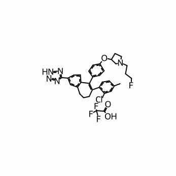 Cc1ccc(C2=C(c3ccc(OC4CCN(CCCF)C4)cc3)c3ccc(-c4nn[nH]n4)cc3CCC2)c(Cl)c1.O=C(O)C(F)(F)F